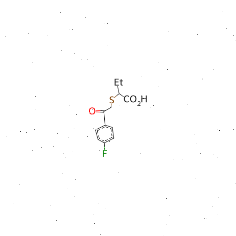 CCC(SCC(=O)c1ccc(F)cc1)C(=O)O